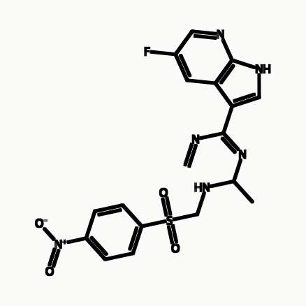 C=N/C(=N\C(C)NCS(=O)(=O)c1ccc([N+](=O)[O-])cc1)c1c[nH]c2ncc(F)cc12